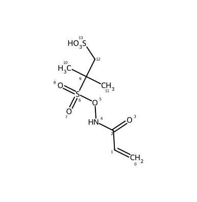 C=CC(=O)NOS(=O)(=O)C(C)(C)CS(=O)(=O)O